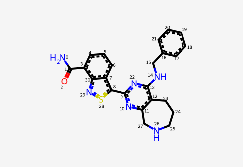 NC(=O)c1cccc2c(-c3nc4c(c(NCc5ccccc5)n3)CCCNC4)snc12